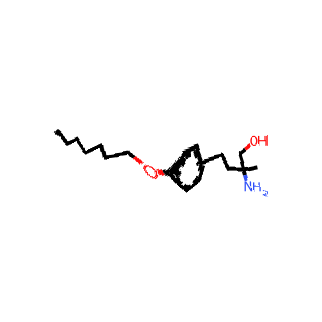 CCCCCCCOc1ccc(CCC(C)(N)CO)cc1